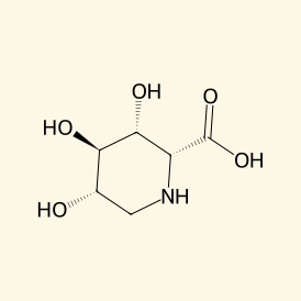 O=C(O)[C@@H]1NC[C@H](O)[C@@H](O)[C@@H]1O